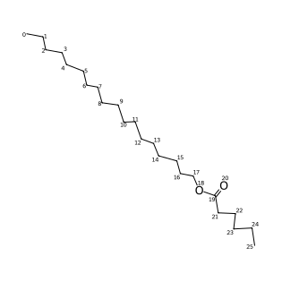 CCCCCCCCCCCCCCCCCCOC(=O)CCCCC